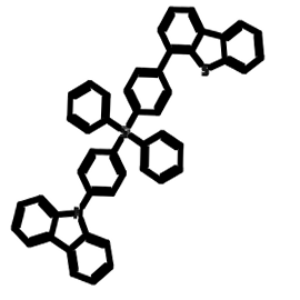 c1ccc([Si](c2ccccc2)(c2ccc(-c3cccc4c3sc3ccccc34)cc2)c2ccc(-n3c4ccccc4c4ccccc43)cc2)cc1